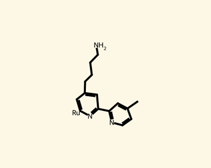 Cc1ccnc(-c2cc(CCCCN)ccn2)c1.[Ru]